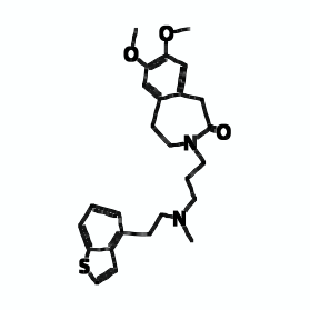 COc1cc2c(cc1OC)CC(=O)N(CCCN(C)CCc1cccc3sccc13)CC2